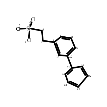 Cl[Si](Cl)(Cl)CCc1cccc(-c2ccccc2)c1